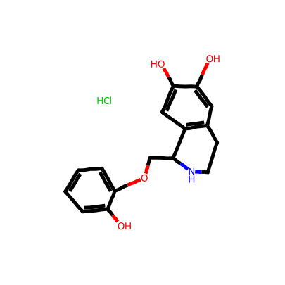 Cl.Oc1cc2c(cc1O)C(COc1ccccc1O)NCC2